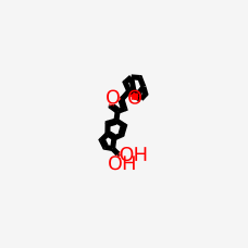 OC(O)C1C=Cc2cc(-c3coc(C45CC6CC(CC(C6)O4)C5)c3)ccc21